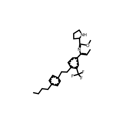 C/C=C(\N=C(/OC)C1CCCN1)c1ccc(CCc2ccc(CCCC)cc2)c(C(F)(F)F)c1